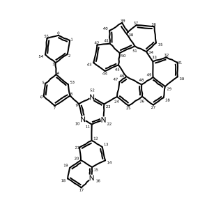 c1ccc(-c2cccc(-c3nc(-c4ccc5ncccc5c4)nc(-c4cc5ccc6cccc7c8cccc9ccc%10cccc(c(c4)c5c67)c%10c98)n3)c2)cc1